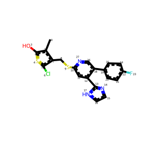 Cc1c(O)sc(Cl)c1CSc1cc(-c2ncc[nH]2)c(-c2ccc(F)cc2)cn1